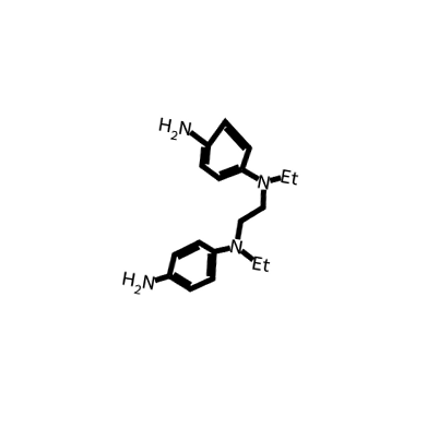 CCN(CCN(CC)c1ccc(N)cc1)c1ccc(N)cc1